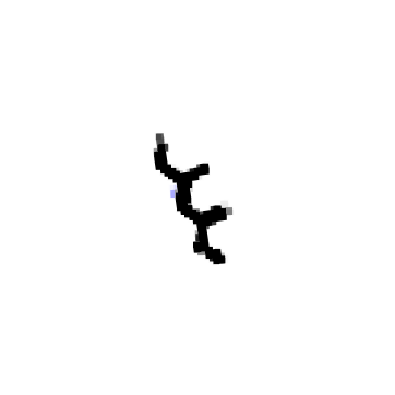 COC(=O)/C=C(\C)CF